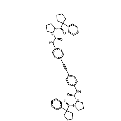 O=C(Nc1ccc(C#Cc2ccc(NC(=O)[C@@H]3CCCN3C(=O)C3(c4ccccc4)CCCC3)cc2)cc1)[C@@H]1CCCN1C(=O)C1(c2ccccc2)CCCC1